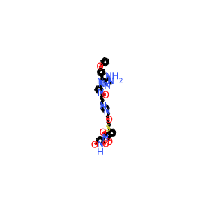 Nc1ncnc2c1c(-c1ccc(Oc3ccccc3)cc1)nn2C1CCCN(C(=O)CCCN2CCN(CCOCCSc3cccc4c3C(=O)N(C3CCC(=O)NC3=O)C4=O)CC2)C1